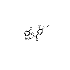 CCOc1ccc(C(=O)[C@H](CO)Oc2ccccc2OC)cc1OC